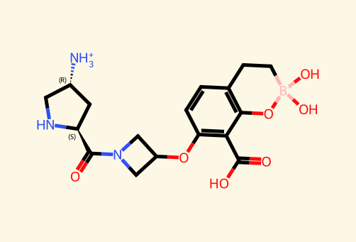 [NH3+][C@H]1CN[C@H](C(=O)N2CC(Oc3ccc4c(c3C(=O)O)O[B-](O)(O)CC4)C2)C1